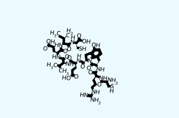 CC[C@H](C)[C@H](NC(=O)[C@H](CCC(=O)O)NC(=O)[C@@H](NC(=O)[C@H](CCC(=O)O)NC(=O)[C@@H]1CCCN1C(=O)[C@H](Cc1ccc(O)cc1)NC(=O)[C@H](CCCNC(=N)N)NC(=O)[C@@H](N)CS)C(C)C)C(=O)N[C@@H](CS)C(=O)O